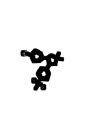 CC1(C)CC(c2ccc(Cl)cc2)=C(c2ccc(S(C)(=O)=O)cc2)C1